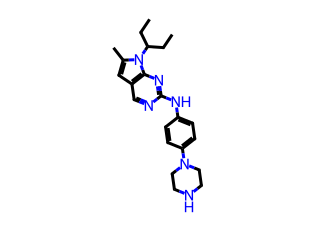 CCC(CC)n1c(C)cc2cnc(Nc3ccc(N4CCNCC4)cc3)nc21